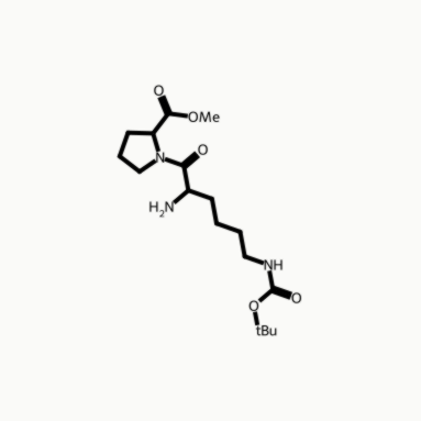 COC(=O)C1CCCN1C(=O)C(N)CCCCNC(=O)OC(C)(C)C